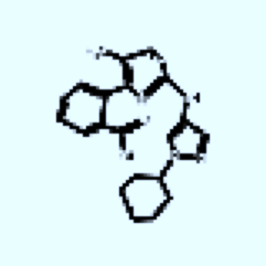 Cc1cnc(Nc2cnn(C3CCCCC3)c2)nc1-c1ccccc1C(=O)O